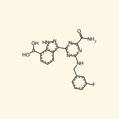 NC(=O)c1nc(NCc2cccc(F)c2)nc(-c2n[nH]c3c(B(O)O)cccc23)n1